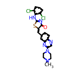 CN1CCN(c2cnc3ccc(C=C4SC(Nc5c(Cl)cccc5Cl)=NC4=O)cc3n2)CC1